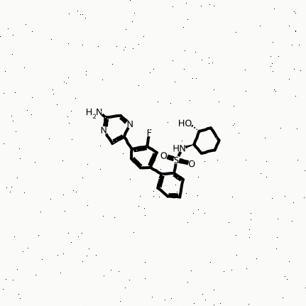 Nc1cnc(-c2ccc(-c3ccccc3S(=O)(=O)N[C@@H]3CCCC[C@H]3O)cc2F)cn1